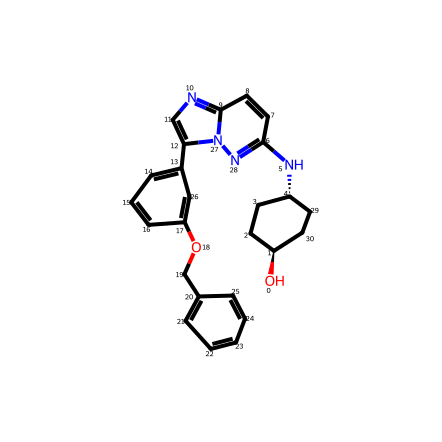 O[C@H]1CC[C@H](Nc2ccc3ncc(-c4cccc(OCc5ccccc5)c4)n3n2)CC1